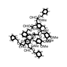 COc1ccc(C[C@]2(OC(=O)C(=O)O[C@@]3(Cc4ccc(OC)c(OC)c4)NCCc4cc(CC(C=O)(OC)OCc5ccccc5)c(CC(C=O)(OC)OCc5ccccc5)cc43)NCCc3cc(CC(C=O)(OC)OCc4ccccc4)c(CC(C=O)(OC)OCc4ccccc4)cc32)cc1OC